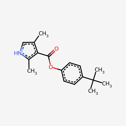 Cc1c[nH]c(C)c1C(=O)Oc1ccc(C(C)(C)C)cc1